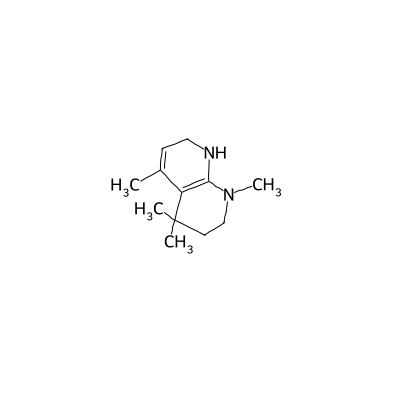 CC1=CCNC2=C1C(C)(C)CCN2C